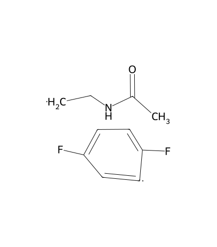 Fc1[c]cc(F)cc1.[CH2]CNC(C)=O